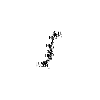 CC(C)(C)OC(=O)NCCCCCNC(=O)CN1CCC(C(=O)Nc2ncc(SCc3ncc(C(C)(C)C)o3)s2)CC1